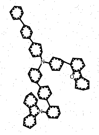 c1ccc(-c2ccc(-c3ccc(N(c4ccc(-c5cccc6c5oc5ccccc56)cc4)c4cccc(-c5ccc(-c6ccccc6-n6c7ccccc7c7ccccc76)cc5)c4)cc3)cc2)cc1